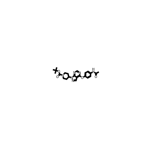 CC(=O)Nc1ccc(Oc2ncnc3c2cnn3C2CCN(C(=O)OC(C)(C)C)CC2)cc1